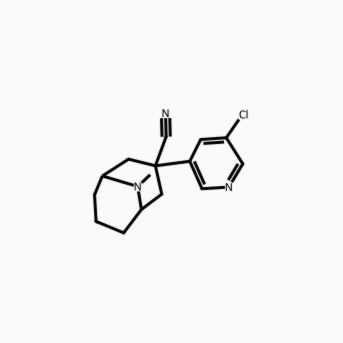 CN1C2CCCC1CC(C#N)(c1cncc(Cl)c1)C2